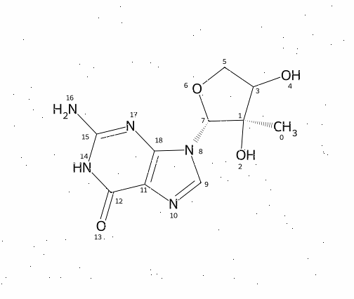 C[C@@]1(O)C(O)CO[C@H]1n1cnc2c(=O)[nH]c(N)nc21